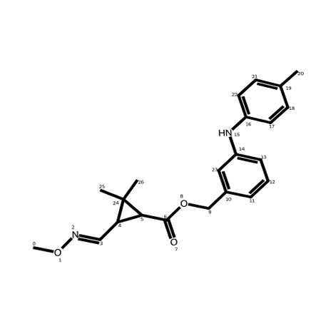 CON=CC1C(C(=O)OCc2cccc(Nc3ccc(C)cc3)c2)C1(C)C